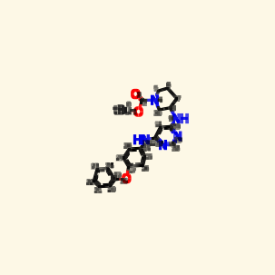 CC(C)(C)OC(=O)N1CCCC(Nc2cc(Nc3ccc(Oc4ccccc4)cc3)ncn2)C1